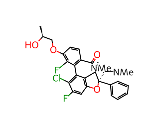 CNC[C@]1(c2ccccc2)Oc2cc(F)c(Cl)c(-c3c(C(=O)NC)ccc(OC[C@H](C)O)c3F)c2[C@@H]1C